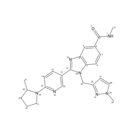 CNC(=O)c1ccc2c(c1)nc(-c1ccc(N3CCCC3C)nc1)n2Cc1ccn(C)n1